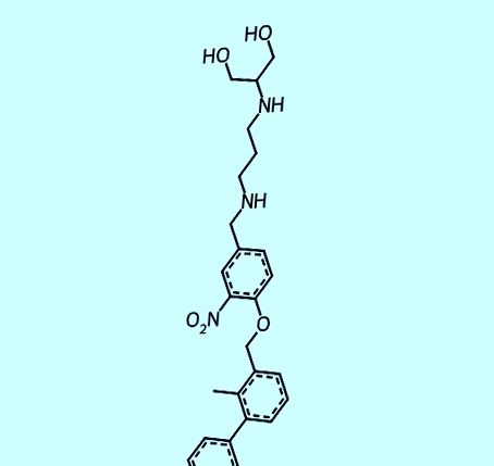 Cc1c(COc2ccc(CNCCCNC(CO)CO)cc2[N+](=O)[O-])cccc1-c1ccccc1